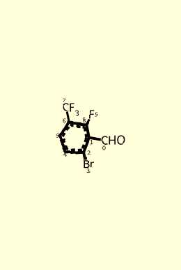 O=Cc1c(Br)ccc(C(F)(F)F)c1F